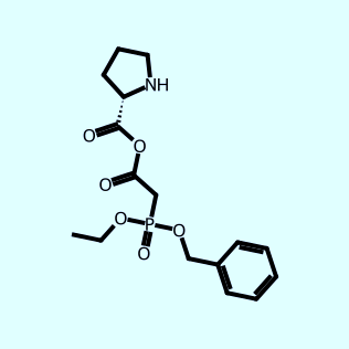 CCOP(=O)(CC(=O)OC(=O)[C@@H]1CCCN1)OCc1ccccc1